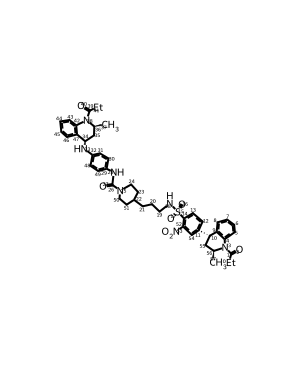 CCC(=O)N1c2ccccc2[C@@H](c2ccc(S(=O)(=O)NCCCC3CCN(C(=O)Nc4ccc(N[C@@H]5C[C@H](C)N(C(=O)CC)c6ccccc65)cc4)CC3)c([N+](=O)[O-])c2)C[C@@H]1C